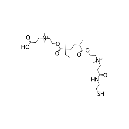 CCC(C)(CCC(C)C(=O)OCC[N+](C)(C)CCC(=O)NCCS)C(=O)OCC[N+](C)(C)CCC(=O)O